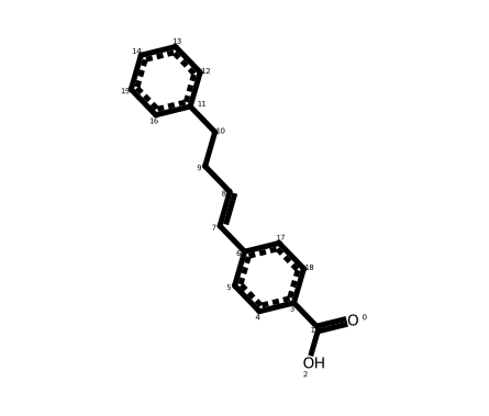 O=C(O)c1ccc(C=CCCc2ccccc2)cc1